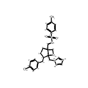 Cc1ccc(S(=O)(=O)OCC23CCC(Cc4ccc(Cl)cc4)C2(Cn2cncn2)OC3)cc1